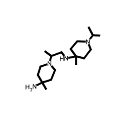 CC(C)N1CCC(C)(NCC(C)N2CCC(C)(N)CC2)CC1